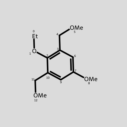 CCOc1c(COC)cc(OC)cc1COC